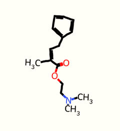 CC(=CCc1ccccc1)C(=O)OCCN(C)C